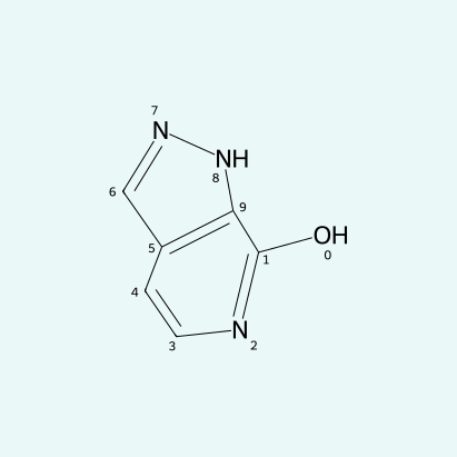 Oc1nccc2cn[nH]c12